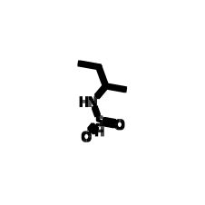 CCC(C)N[SH](=O)=O